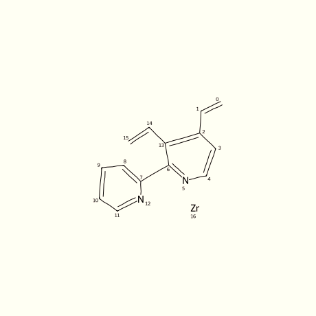 C=Cc1ccnc(-c2ccccn2)c1C=C.[Zr]